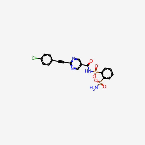 NS(=O)(=O)c1ccccc1S(=O)(=O)NC(=O)c1cnc(C#Cc2ccc(Cl)cc2)nc1